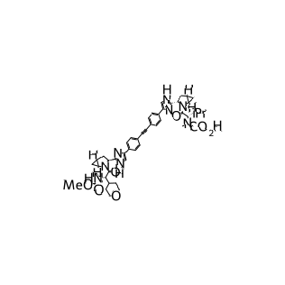 COC(=O)N[C@H](C(=O)N1[C@@H]2C[C@@H]2C[C@H]1c1nc(-c2ccc(C#Cc3ccc(-c4c[nH]c([C@@H]5C[C@H]6C[C@H]6N5C(=O)[C@H](C(C)C)N(C)C(=O)O)n4)cc3)cc2)c[nH]1)C1CCOCC1